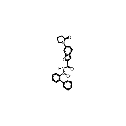 O=C(N[S+]([O-])c1ccccc1-c1ccccc1)c1cc2ccc(N3CCCC3=O)cc2o1